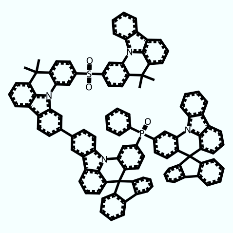 CC1(C)c2ccc(S(=O)(=O)c3ccc4c(c3)-n3c5cc(-c6ccc7c(c6)c6cccc8c6n7-c6cc(P(=O)(c7ccccc7)c7ccc9c(c7)-n7c%10ccccc%10c%10cccc(c%107)C97c9ccccc9-c9ccccc97)ccc6C86c7ccccc7-c7ccccc76)ccc5c5cccc(c53)C4(C)C)cc2-n2c3ccccc3c3cccc1c32